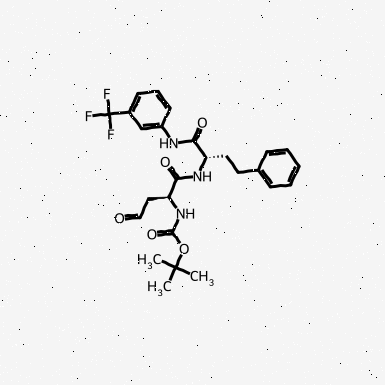 CC(C)(C)OC(=O)N[C@@H](CC=O)C(=O)N[C@@H](CCc1ccccc1)C(=O)Nc1cccc(C(F)(F)F)c1